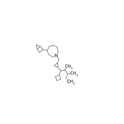 CCC(C)C(C)C(C1CCC1)C1CC1CN1CCCCC(C2CC3CC32)CC1